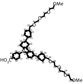 COCCOCCOCCOCc1ccc(-c2ccc3c(c2)c2cc(-c4ccc(COCCOCCOCCOC)cc4)ccc2n3-c2ccc(C(=O)O)cc2)cc1